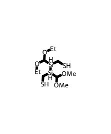 CCOC(OCC)[SiH](CS)[SiH](CS)C(OC)OC